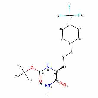 CNC(=O)[C@H](CCCC1CCC(C(F)(F)F)CC1)NC(=O)OC(C)(C)C